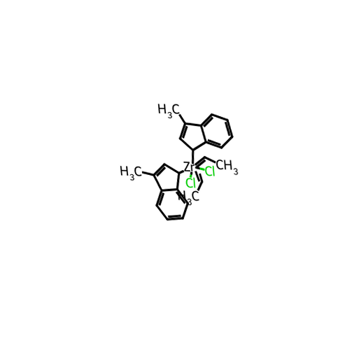 C[CH]=[Zr]([Cl])([Cl])(=[CH]C)([CH]1C=C(C)c2ccccc21)[CH]1C=C(C)c2ccccc21